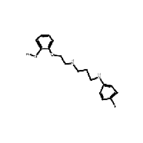 CC(C)Oc1ccccc1OCCNCCCNc1ccc(F)cc1